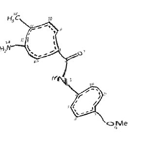 COc1ccc(NC(=O)c2ccc(C)c(N)c2)cc1